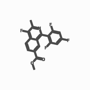 COC(=O)c1ccc2c(F)c(C)nc(-c3c(F)cc(F)cc3F)c2c1